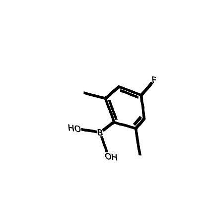 Cc1cc(F)cc(C)c1B(O)O